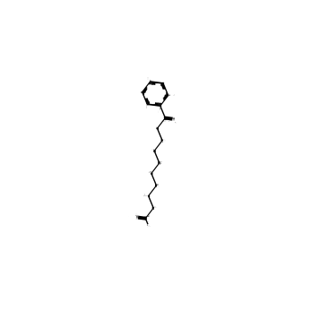 O=C(O)CCCCCCCCC(=O)c1ccccc1